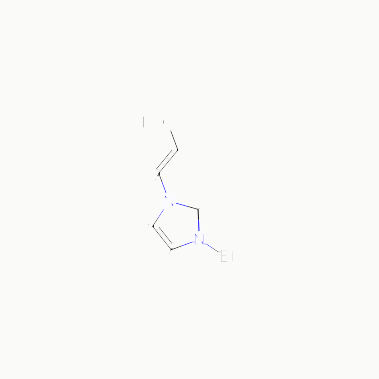 CC=CN1C=CN(CC)C1